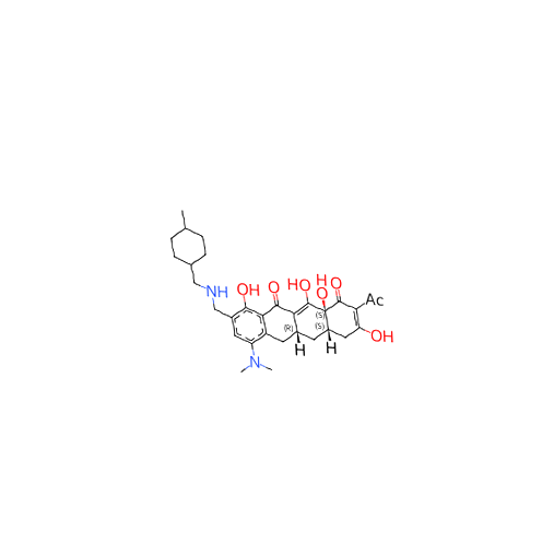 CC(=O)C1=C(O)C[C@@H]2C[C@@H]3Cc4c(N(C)C)cc(CNCC5CCC(C)CC5)c(O)c4C(=O)C3=C(O)[C@]2(O)C1=O